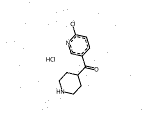 Cl.O=C(c1ccc(Cl)nc1)C1CCNCC1